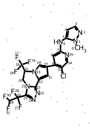 Cn1nccc1Nc1cc(-c2cc3n(c2)C(C(F)(F)F)Cn2c-3nnc2C(F)(F)C(F)F)c(Cl)cn1